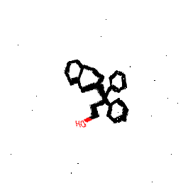 OCCC(c1ccccc1)(c1ccccc1)c1ccc2ccccc2c1